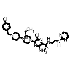 CC[C@H]1CN(c2nc(N)c(C(=O)NCCNc3ncccn3)nc2Cl)CCN1C1CCN(Cc2ccc(Cl)cc2)CC1